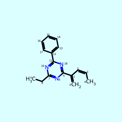 C=C(/C=C\C)c1nc(CC)nc(-c2ccccc2)n1